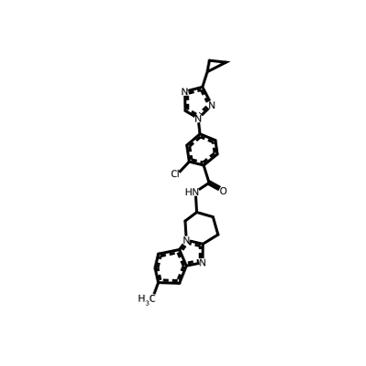 Cc1ccc2c(c1)nc1n2CC(NC(=O)c2ccc(-n3cnc(C4CC4)n3)cc2Cl)CC1